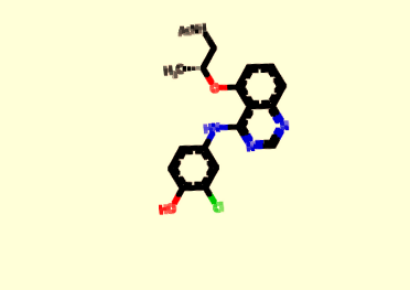 CC(=O)NC[C@@H](C)Oc1cccc2ncnc(Nc3ccc(O)c(Cl)c3)c12